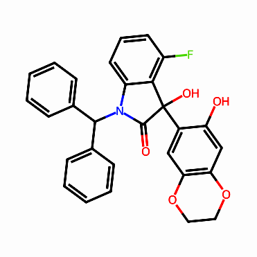 O=C1N(C(c2ccccc2)c2ccccc2)c2cccc(F)c2C1(O)c1cc2c(cc1O)OCCO2